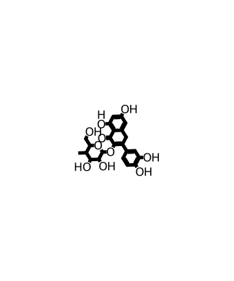 CC1C(CO)OC(OC2=C(c3ccc(O)c(O)c3)Cc3cc(O)cc(O)c3C2=O)C(O)C1O